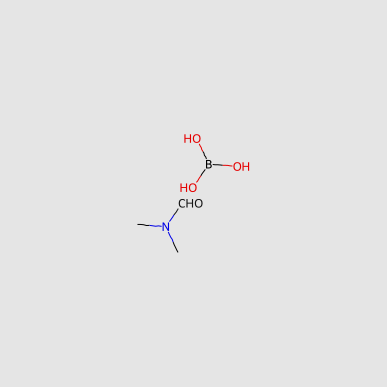 CN(C)C=O.OB(O)O